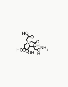 N.O=C(O)C[N+](CC(=O)O)(CC(=O)O)C(CCO)C(=O)O